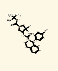 CC(C)(C)OC(=O)N1CC(OC(=O)N2CCc3ccccc3[C@@H]2c2ccc(F)cc2)C(F)(F)C1